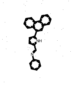 C(=N\c1ccccc1)/c1ccc(-c2cc3ccccc3c3ccccc23)[nH]1